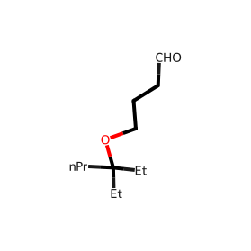 CCCC(CC)(CC)OCCCC=O